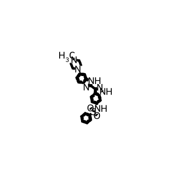 CN1CCN(c2ccc3nc(-c4n[nH]c5cc(NS(=O)(=O)c6ccccc6)ccc45)[nH]c3c2)CC1